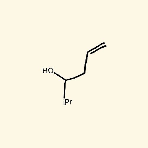 [CH2]C(C)C(O)CC=C